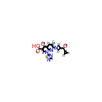 O=C(O)c1cn(-c2ncns2)c2nc(N3CC(C(=O)C4CC4)C3)c(F)cc2c1=O